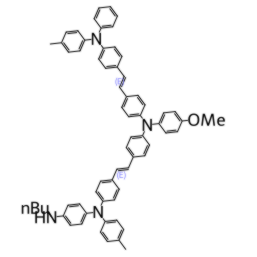 CCCCNc1ccc(N(c2ccc(C)cc2)c2ccc(/C=C/c3ccc(N(c4ccc(/C=C/c5ccc(N(c6ccccc6)c6ccc(C)cc6)cc5)cc4)c4ccc(OC)cc4)cc3)cc2)cc1